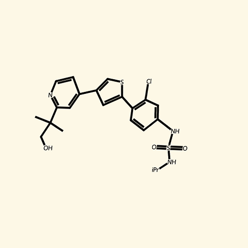 CC(C)NS(=O)(=O)Nc1ccc(-c2cc(-c3ccnc(C(C)(C)CO)c3)cs2)c(Cl)c1